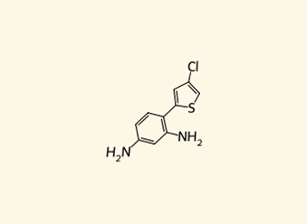 Nc1ccc(-c2cc(Cl)cs2)c(N)c1